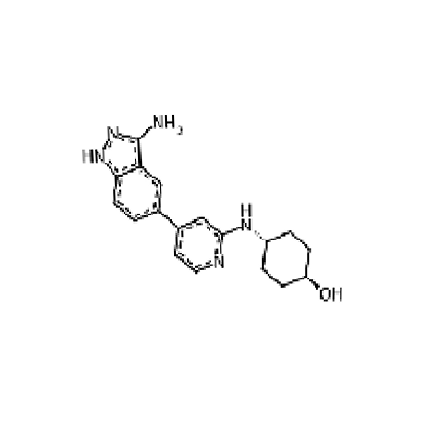 Nc1n[nH]c2ccc(-c3ccnc(N[C@H]4CC[C@H](O)CC4)c3)cc12